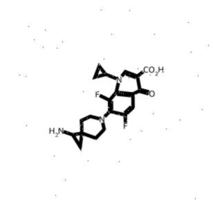 NC1CC12CCN(c1c(F)cc3c(=O)c(C(=O)O)cn(C4CC4)c3c1F)CC2